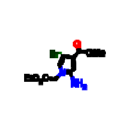 CCOC(=O)C[n+]1ccc(C(=O)OC)cc1N.[Br-]